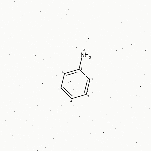 Nc1[c]cccc1